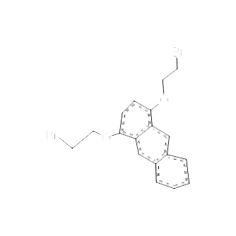 BrCCOc1ccc(OCCBr)c2cc3ccccc3cc12